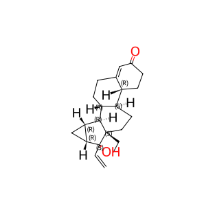 C=C[C@]1(O)[C@@H]2C[C@@H]2[C@H]2[C@@H]3CCC4=CC(=O)CC[C@@H]4[C@H]3CC[C@@]21CC